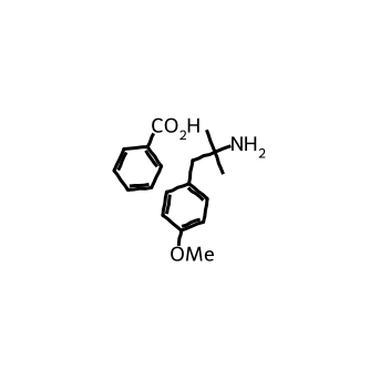 COc1ccc(CC(C)(C)N)cc1.O=C(O)c1ccccc1